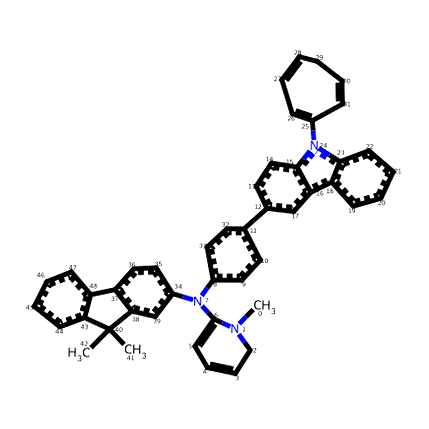 CN1CC=CC=C1N(c1ccc(-c2ccc3c(c2)c2ccccc2n3C2=CC=CCC=C2)cc1)c1ccc2c(c1)C(C)(C)c1ccccc1-2